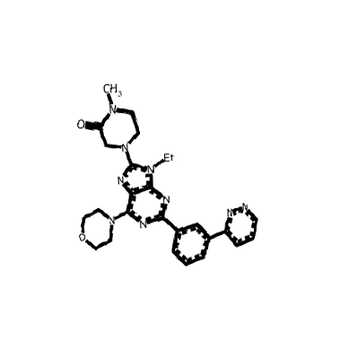 CCn1c(N2CCN(C)C(=O)C2)nc2c(N3CCOCC3)nc(-c3cccc(-c4cccnn4)c3)nc21